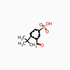 CC(C)(C)c1ccc(S(=O)(=O)O)cc1C=O